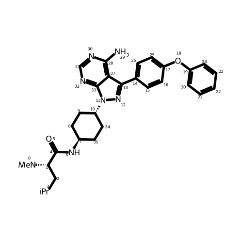 CN[C@@H](CC(C)C)C(=O)N[C@H]1CC[C@H](n2nc(-c3ccc(Oc4ccccc4)cc3)c3c(N)ncnc32)CC1